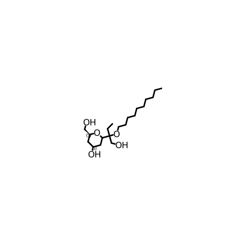 CCCCCCCCCCOC(CC)(CO)C1C[C@@H](O)C[C@@H](CO)O1